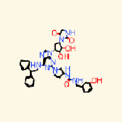 O=C(NCc1cccc(O)c1)N[C@@H]1CCN(c2nc(NCC(c3ccccc3)c3ccccc3)c3ncn([C@@H]4C[C@H](N5C(=O)CNC5=O)[C@@H](O)[C@H]4O)c3n2)C1